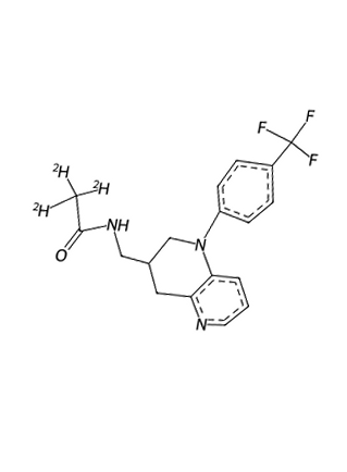 [2H]C([2H])([2H])C(=O)NCC1Cc2ncccc2N(c2ccc(C(F)(F)F)cc2)C1